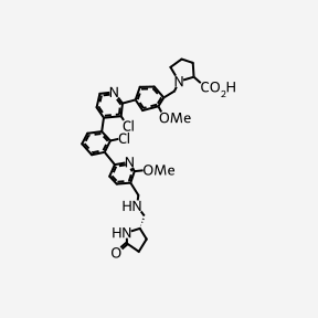 COc1cc(-c2nccc(-c3cccc(-c4ccc(CNC[C@@H]5CCC(=O)N5)c(OC)n4)c3Cl)c2Cl)ccc1CN1CCCC1C(=O)O